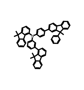 CC1(C)c2ccccc2-c2c(N(c3ccc(-c4ccc5c(c4)C(C)(c4ccccc4)c4ccccc4-5)cc3)c3cccc(-c4cccc5c4C(C)(C)c4ccccc4-5)c3)cccc21